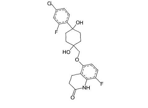 O=C1CCc2c(OCC3(O)CCC(O)(c4ccc(Cl)cc4F)CC3)ccc(F)c2N1